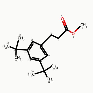 COC(=O)CCc1cc(C(C)(C)C)[c]c(C(C)(C)C)c1